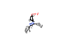 CC(C)c1cc(C(C)(C)C)n(C2CC(O)C2)n1